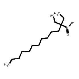 CCCCCCCCCCCC(CC)(CO)[N+](=O)[O-]